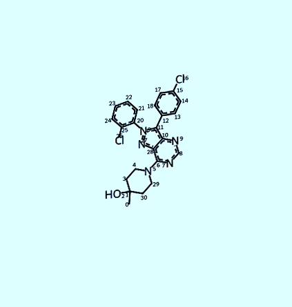 CC1(O)CCN(c2ncnc3c(-c4ccc(Cl)cc4)n(-c4ccccc4Cl)nc23)CC1